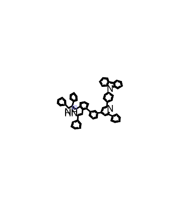 N=C(/C(=C1\NC(c2ccccc2)=Cc2c1cccc2-c1cccc(-c2cc(-c3ccccc3)nc(-c3ccc(-n4c5ccccc5c5ccccc54)cc3)c2)c1)c1ccccc1)c1ccccc1